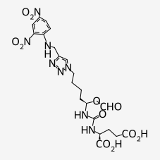 O=CO[C@H](CCCCn1cc(CNc2ccc([N+](=O)[O-])cc2[N+](=O)[O-])nn1)NC(=O)N[C@@H](CCC(=O)O)C(=O)O